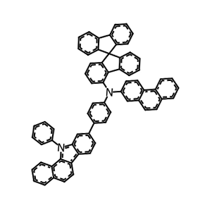 c1ccc(-n2c3cc(-c4ccc(N(c5ccc6c(ccc7ccccc76)c5)c5cccc6c5-c5ccccc5C65c6ccccc6-c6ccccc65)cc4)ccc3c3ccc4ccccc4c32)cc1